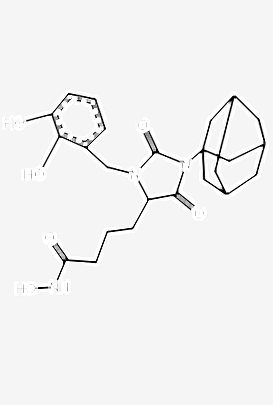 O=C(CCCC1C(=O)N(C23CC4CC(CC(C4)C2)C3)C(=O)N1Cc1cccc(O)c1O)NO